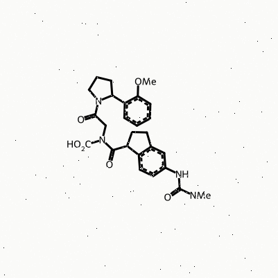 CNC(=O)Nc1ccc2c(c1)CCC2C(=O)N(CC(=O)N1CCCC1c1ccccc1OC)C(=O)O